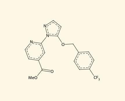 COC(=O)c1ccnc(-n2nccc2OCc2ccc(C(F)(F)F)cc2)c1